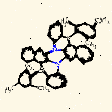 Cc1cc(C)c(B2c3ccccc3N3c4cc5ccccc5c5c4N(c4ccccc4B5c4c(C)cc(C)cc4C)c4cc5ccccc5c2c43)c(C)c1